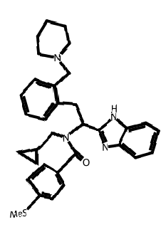 CSc1ccc(C(=O)N(CC2CC2)C(Cc2ccccc2CN2CCCCC2)c2nc3ccccc3[nH]2)cc1